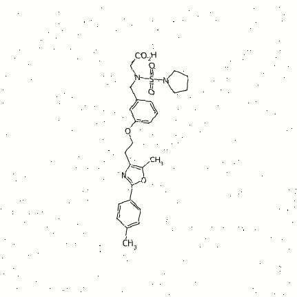 Cc1ccc(-c2nc(CCOc3cccc(CN(CC(=O)O)S(=O)(=O)N4CCCC4)c3)c(C)o2)cc1